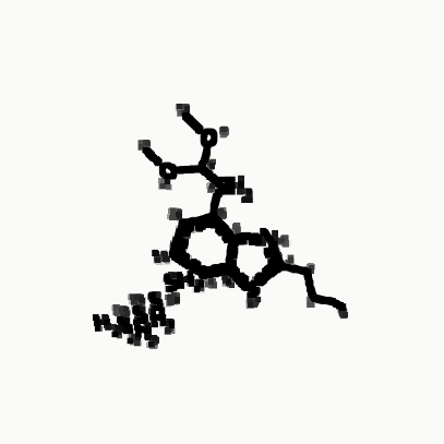 CCCc1nc2c([SiH2]C(OC)OC)cccc2s1.S.S.S.S